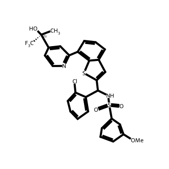 COc1cccc(S(=O)(=O)NC(c2cc3cccc(-c4cc([C@](C)(O)C(F)(F)F)ccn4)c3s2)c2ccccc2Cl)c1